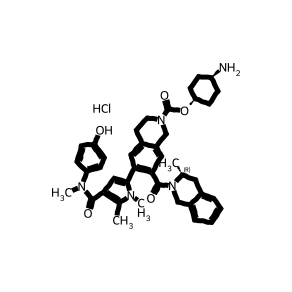 Cc1c(C(=O)N(C)c2ccc(O)cc2)cc(-c2cc3c(cc2C(=O)N2Cc4ccccc4C[C@H]2C)CN(C(=O)O[C@H]2CC[C@H](N)CC2)CC3)n1C.Cl